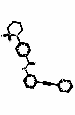 O=C(Nc1cccc(C#Cc2ccccn2)c1)c1ccc(N2CCCCS2(=O)=O)cc1